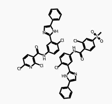 CS(=O)(=O)c1ccc(C(=O)Nc2ccc(Cl)c(-c3ncc(-c4ccccc4)[nH]3)c2)c(Cl)c1.O=C(Nc1ccc(Cl)c(-c2ncc(-c3ccccc3)[nH]2)c1)c1ccc(Cl)nc1Cl